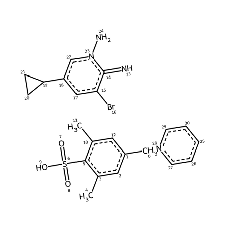 Cc1cc(C)c(S(=O)(=O)O)c(C)c1.N=c1c(Br)cc(C2CC2)cn1N.c1ccncc1